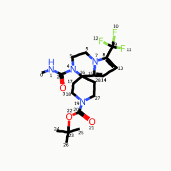 CNC(=O)N1CCn2c(C(F)(F)F)ccc2C12CCN(C(=O)OC(C)(C)C)CC2